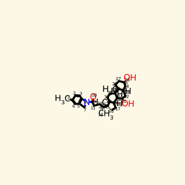 Cc1ccc2c(c1)CN2C(=O)CC[C@@H](C)[C@H]1CC[C@H]2[C@@H]3[C@H](O)C[C@@H]4C[C@H](O)CC[C@]4(C)[C@H]3CC[C@]12C